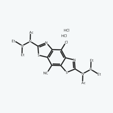 CCN(CC)N(C(C)=O)c1nc2c(Cl)c3nc(N(C(C)=O)N(CC)CC)sc3c(C#N)c2s1.Cl.Cl